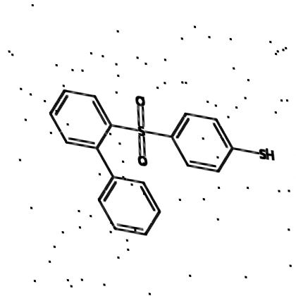 O=S(=O)(c1ccc(S)cc1)c1ccccc1-c1ccccc1